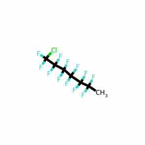 CC(F)(F)C(F)(F)C(F)(F)C(F)(F)C(F)(F)C(F)(F)Cl